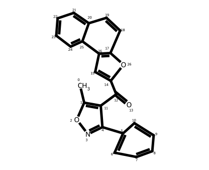 Cc1onc(-c2ccccc2)c1C(=O)c1cc2c(ccc3ccccc32)o1